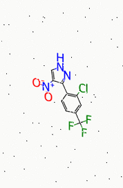 O=[N+]([O-])c1c[nH]nc1-c1ccc(C(F)(F)F)cc1Cl